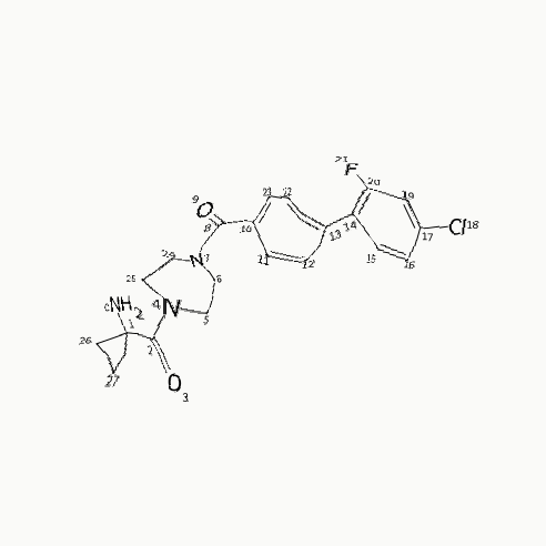 NC1(C(=O)N2CCN(C(=O)c3ccc(-c4ccc(Cl)cc4F)cc3)CC2)CC1